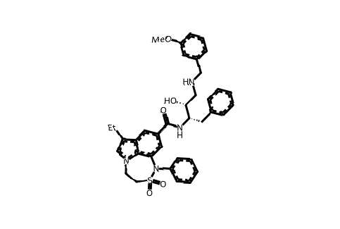 CCc1cn2c3c(cc(C(=O)N[C@@H](Cc4ccccc4)[C@H](O)CNCc4cccc(OC)c4)cc13)N(c1ccccc1)S(=O)(=O)CC2